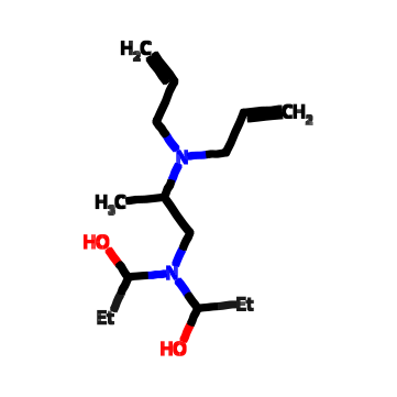 C=CCN(CC=C)C(C)CN(C(O)CC)C(O)CC